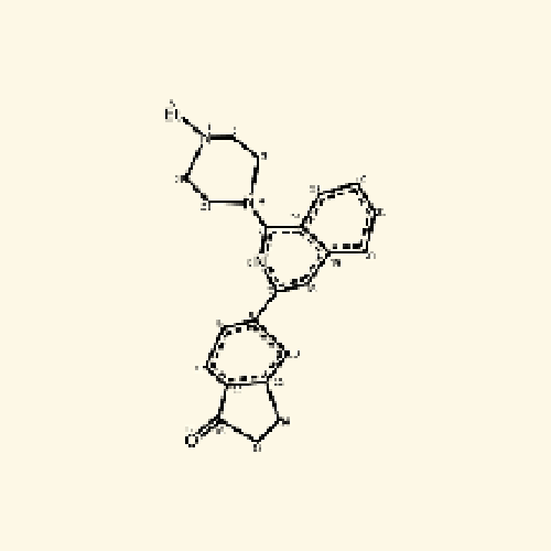 CCN1CCN(c2nc(-c3ccc4c(c3)CCC4=O)cc3ccccc23)CC1